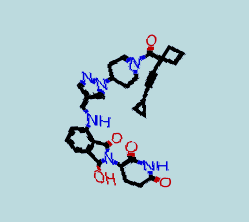 O=C1CCC(N2C(=O)c3c(NCc4cnn(C5CCN(C(=O)C6(C#CC7CC7)CCC6)CC5)c4)cccc3C2O)C(=O)N1